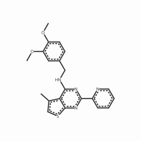 COc1ccc(CNc2nc(-c3ccccn3)nc3scc(C)c23)cc1OC